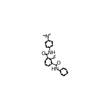 CN(C)c1ccc(NC(=O)c2cccc(C(=O)Nc3ccccc3)c2F)cc1